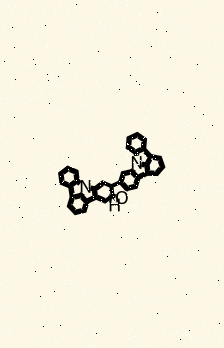 C1=c2c(n3c4ccccc4c4cccc2c43)=CC2c3cc4c(cc3O[C@@H]12)c1cccc2c3ccccc3n4c21